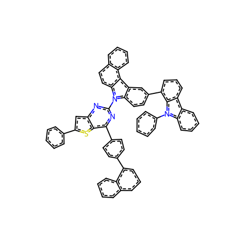 c1ccc(-c2cc3nc(-n4c5ccc(-c6cccc7c8ccccc8n(-c8ccccc8)c67)cc5c5c6ccccc6ccc54)nc(-c4ccc(-c5cccc6ccccc56)cc4)c3s2)cc1